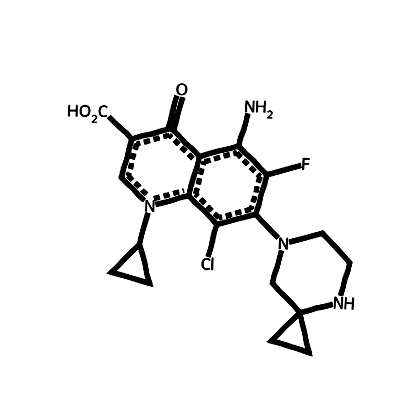 Nc1c(F)c(N2CCNC3(CC3)C2)c(Cl)c2c1c(=O)c(C(=O)O)cn2C1CC1